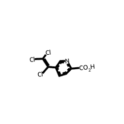 O=C(O)c1ccc(C(Cl)=C(Cl)Cl)cn1